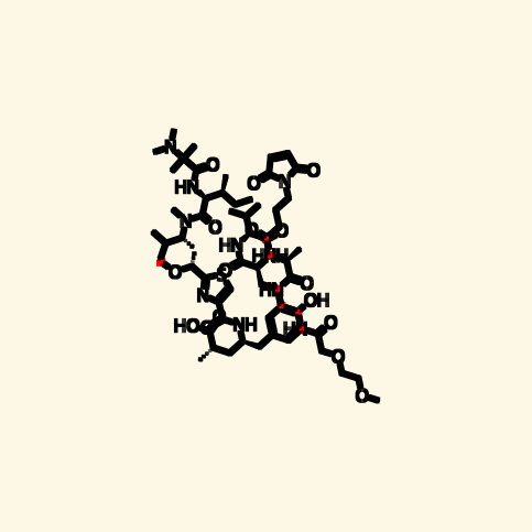 CC[C@H](C)[C@H](NC(=O)C(C)(C)N(C)C)C(=O)N(C)[C@H](C[C@@H](OC)c1nc(C(=O)N[C@@H](Cc2ccc(O)c(NC(=O)[C@H](C)NC(=O)[C@@H](NC(=O)[C@H](CCCCNC(=O)COCCOC)NC(=O)CCCN3C(=O)C=CC3=O)C(C)C)c2)C[C@H](C)C(=O)O)cs1)C(C)C